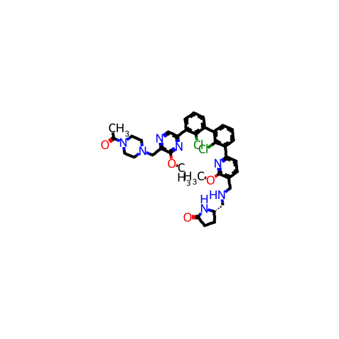 COc1nc(-c2cccc(-c3cccc(-c4cnc(CN5CCN(C(C)=O)CC5)c(OC)n4)c3Cl)c2Cl)ccc1CNC[C@@H]1CCC(=O)N1